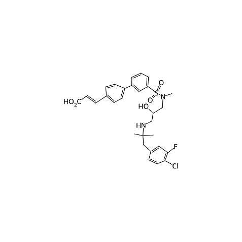 CN(CC(O)CNC(C)(C)Cc1ccc(Cl)c(F)c1)S(=O)(=O)c1cccc(-c2ccc(C=CC(=O)O)cc2)c1